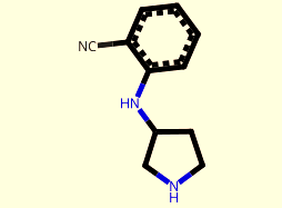 N#Cc1ccccc1NC1CCNC1